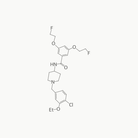 CCOc1cc(CN2CCC(NC(=O)c3cc(OCCF)cc(OCCF)c3)CC2)ccc1Cl